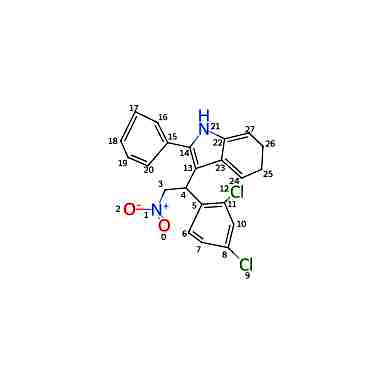 O=[N+]([O-])CC(c1ccc(Cl)cc1Cl)c1c(-c2ccccc2)[nH]c2c1=CCCC=2